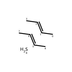 C/C=C/C.C/C=C/C.S